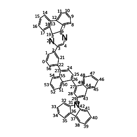 c1cc(-c2cnc3c4ccccc4c4ccccc4c3n2)cc(-c2ccc(-c3cc(-n4c5ccccc5c5ccccc54)cc4ccccc34)c3ccccc23)c1